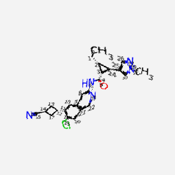 CC[C@H]1[C@@H](C(=O)Nc2cc3cc([C@H]4C[C@H](C#N)C4)c(Cl)cc3cn2)[C@@H]1c1cnn(C)c1